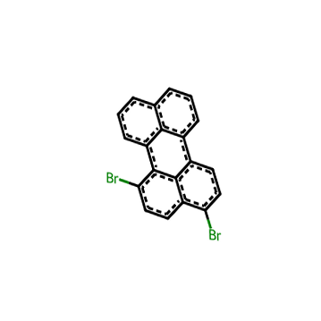 Brc1ccc2c3cccc4cccc(c5c(Br)ccc1c25)c43